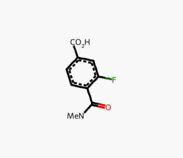 CNC(=O)c1ccc(C(=O)O)cc1F